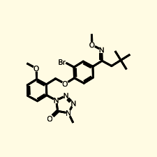 CO/N=C(/CC(C)(C)C)c1ccc(OCc2c(OC)cccc2-n2nnn(C)c2=O)c(Br)c1